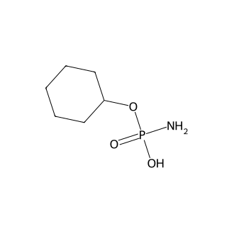 NP(=O)(O)OC1CCCCC1